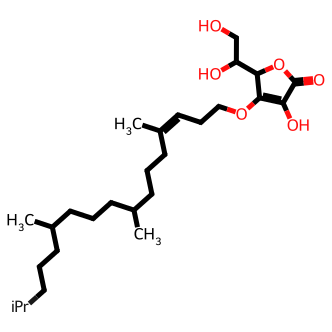 CC(=CCCOC1=C(O)C(=O)OC1C(O)CO)CCCC(C)CCCC(C)CCCC(C)C